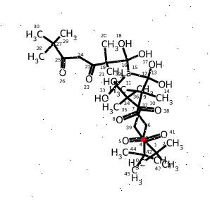 CC(C)(C)C(=O)CC(=O)C(C)(C)[C](O)(O)[La]([C](O)(O)C(C)(C)C(=O)CC(=O)C(C)(C)C)[C](O)(O)C(C)(C)C(=O)CC(=O)C(C)(C)C